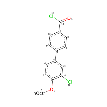 CCCCCCCCOc1ccc(-c2ccc(C(=O)Cl)cc2)cc1Cl